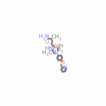 CC(C)CCN(CC(C)(C)NC(=O)[CH]CC(C)C(N)=O)c1ccc(OCc2ccccn2)cc1